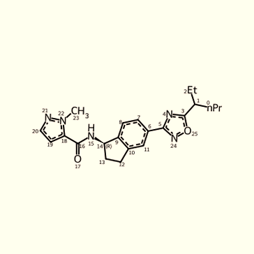 CCCC(CC)c1nc(-c2ccc3c(c2)CC[C@H]3NC(=O)c2ccnn2C)no1